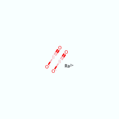 O=B[O-].O=B[O-].[Ra+2]